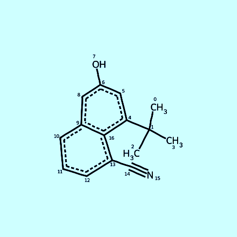 CC(C)(C)c1cc(O)cc2cccc(C#N)c12